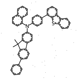 CC1(C)c2cc(-c3ccccc3)ccc2-c2ccc(N(c3ccc(-c4cccc5c4sc4ccccc45)cc3)c3cccc4ccccc34)cc21